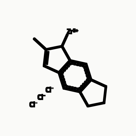 CC1=Cc2cc3c(cc2[CH]1[Zr+3])CCC3.[Cl-].[Cl-].[Cl-]